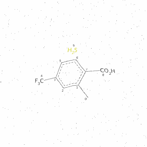 Cc1cc(C(F)(F)F)ccc1C(=O)O.S